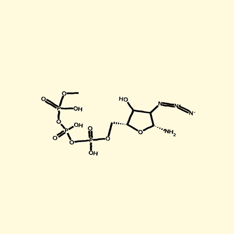 COP(=O)(O)OP(=O)(O)OP(=O)(O)OC[C@H]1O[C@@H](N)C(N=[N+]=[N-])C1O